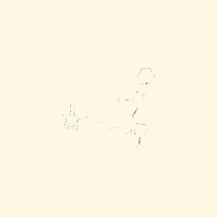 O=C1OC[C@H](C=C[C@@H](O)C(F)(F)c2ccccc2)N1CCCCCCc1nnn[nH]1